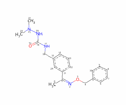 CC(=NOCc1ccccc1)c1cccc(CNC(=O)NN(C)C)c1